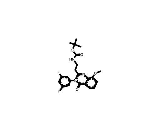 COc1cccc2c(=O)n(-c3cc(F)cc(F)c3)c(CCNC(=O)OC(C)(C)C)nc12